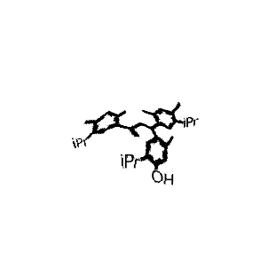 Cc1cc(C)c(C(C)CC(c2cc(C(C)C)c(C)cc2C)c2cc(C(C)C)c(O)cc2C)cc1C(C)C